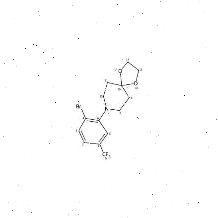 FC(F)(F)c1ccc(Br)c(N2CCC3(CC2)OCCO3)c1